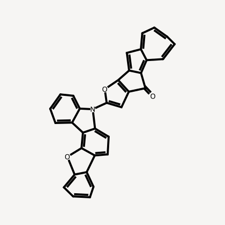 O=C1c2cc(-n3c4ccccc4c4c5oc6ccccc6c5ccc43)oc2-c2cc3cccccc-3c21